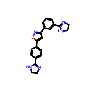 c1cc(C2=NCCN2)cc(-c2cc(-c3ccc(C4=NCCN4)cc3)on2)c1